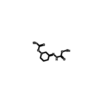 CC(C)(C)OC(=O)NN=C1CCCN(OC(=O)C(C)(C)C)C1